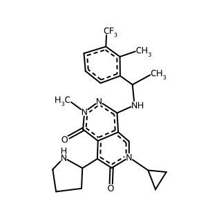 Cc1c(C(C)Nc2nn(C)c(=O)c3c(C4CCCN4)c(=O)n(C4CC4)cc23)cccc1C(F)(F)F